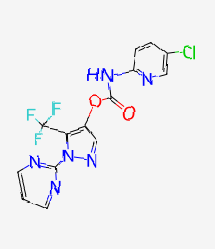 O=C(Nc1ccc(Cl)cn1)Oc1cnn(-c2ncccn2)c1C(F)(F)F